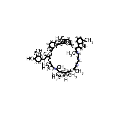 COC1CC(C[C@@H](C)[C@@H]2CC(O)C(C)/C=C(\C)C(O)[C@@H](OC)C(O)C(C)C[C@H](C)/C=C/C=C/C=C(\C)C(C3=CNC4C(C)=CC=CC34)C[C@@H]3CCC(C)C(O)(O3)C(=O)C(=O)N3CCCCC3C(=O)O2)CC[C@H]1O